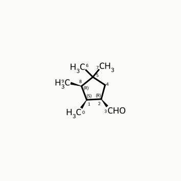 C[C@@H]1[C@H](C=O)CC(C)(C)[C@@H]1C